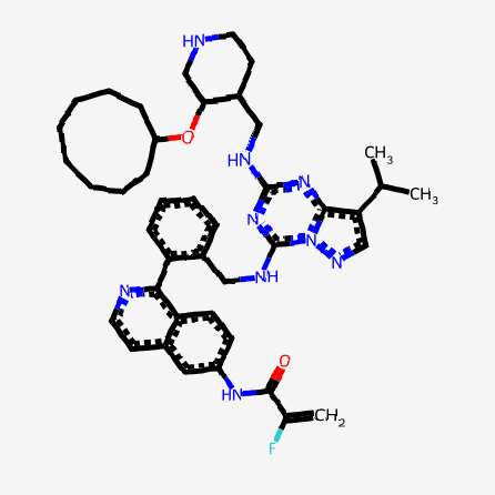 C=C(F)C(=O)Nc1ccc2c(-c3ccccc3CNc3nc(NCC4CCNCC4OC4CCCCCCCC4)nc4c(C(C)C)cnn34)nccc2c1